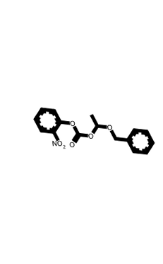 CC(OCc1ccccc1)OC(=O)Oc1ccccc1[N+](=O)[O-]